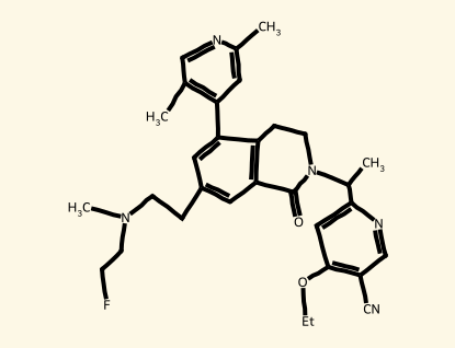 CCOc1cc(C(C)N2CCc3c(cc(CCN(C)CCF)cc3-c3cc(C)ncc3C)C2=O)ncc1C#N